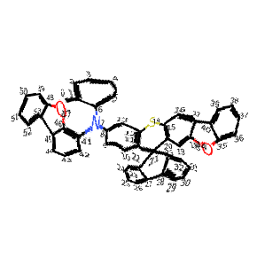 Cc1ccccc1N(c1ccc2c(c1)Sc1cc3c(cc1C21c2ccccc2-c2ccccc21)oc1ccccc13)c1cccc2c1oc1ccccc12